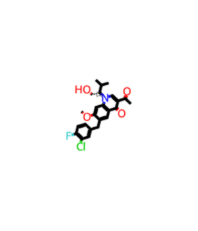 COc1cc2c(cc1Cc1ccc(F)c(Cl)c1)c(=O)c(C(C)=O)cn2[C@H](CO)C(C)C